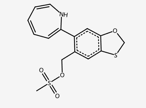 CS(=O)(=O)OCc1cc2c(cc1C1=CC=CC=CN1)OCS2